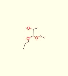 CCCOC(OCC)C(C)[O]